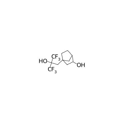 OC1CC2(CC(O)(C(F)(F)F)C(F)(F)F)CCC1C2